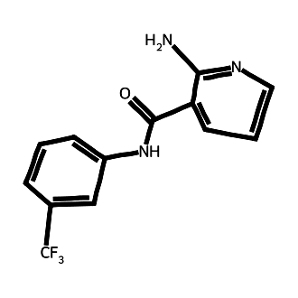 Nc1ncccc1C(=O)Nc1cccc(C(F)(F)F)c1